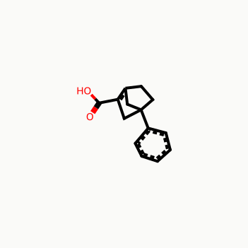 O=C(O)C1=C2CCC(c3ccccc3)(C2)C1